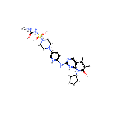 CC(=O)c1c(C)c2cnc(Nc3ccc(N4CCN(S(=O)(=O)NC(=O)NC(C)C)CC4)cn3)nc2n(C2CCCC2)c1=O